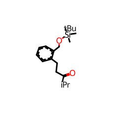 CC(C)C(=O)CCc1ccccc1CO[Si](C)(C)C(C)(C)C